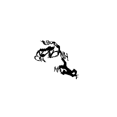 CC(C)(C)CN(CC(=O)NCCc1c[nH]c2cc(F)ccc12)c1ccnc(C#N)n1